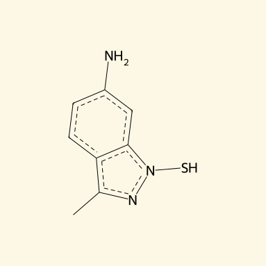 Cc1nn(S)c2cc(N)ccc12